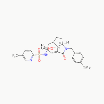 COc1ccc(CN2C(=O)C3=C[C@](C)(NS(=O)(=O)c4ccc(C(F)(F)F)cn4)CC4CC[C@@H]2[C@@]34O)cc1